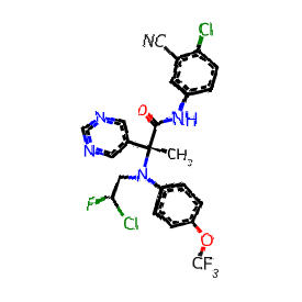 C[C@](C(=O)Nc1ccc(Cl)c(C#N)c1)(c1cncnc1)N(C[C@H](F)Cl)c1ccc(OC(F)(F)F)cc1